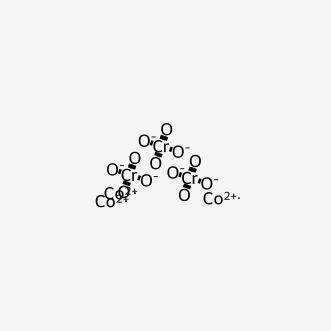 [Co+2].[Co+2].[Co+2].[O]=[Cr](=[O])([O-])[O-].[O]=[Cr](=[O])([O-])[O-].[O]=[Cr](=[O])([O-])[O-]